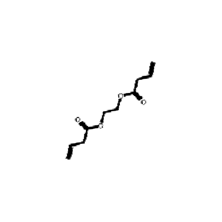 C=CCC(=O)OCCOC(=O)CC=C